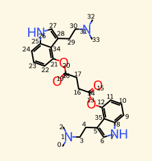 CN(C)CCc1c[nH]c2cccc(OC(=O)CCC(=O)Oc3cccc4[nH]cc(CCN(C)C)c34)c12